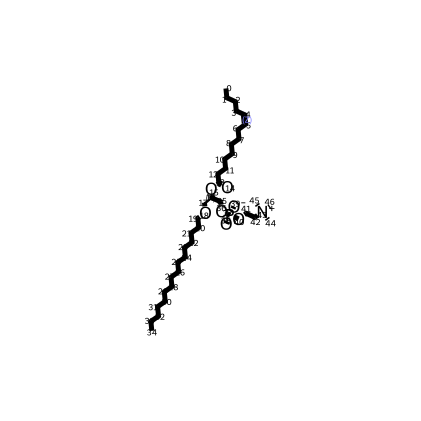 CCCC/C=C\CCCCCCCC(=O)O[C@H](COCCCCCCCCCCCCCCCC)COP(=O)([O-])OCC[N+](C)(C)C